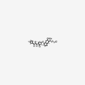 COc1cc2c(Oc3ccc(NC(=O)Nc4cc(C)on4)c(Cl)c3)ccnc2cc1OCCCCl